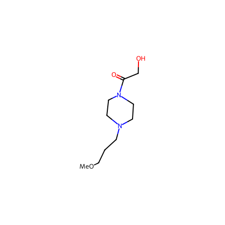 COCCCN1CCN(C(=O)CO)CC1